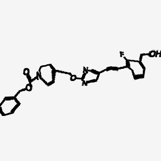 O=C(OCc1ccccc1)N1CCC(COc2ncc(C#Cc3cccc(CO)c3F)cn2)CC1